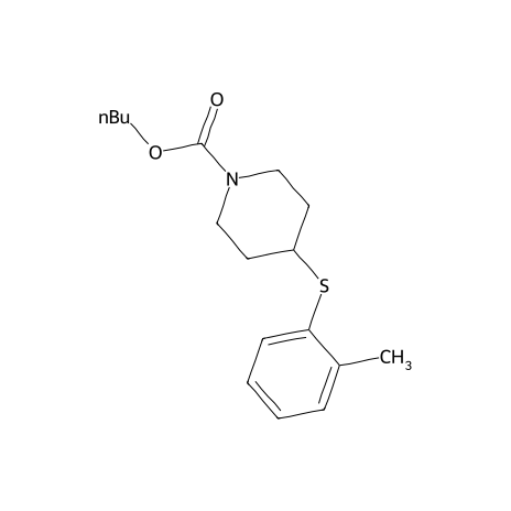 CCCCOC(=O)N1CCC(Sc2ccccc2C)CC1